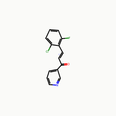 O=C(/C=C/c1c(F)cccc1Cl)c1cccnc1